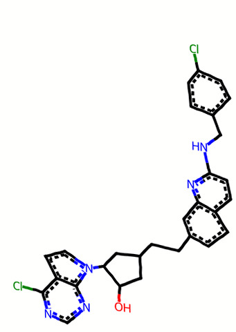 OC1CC(CCc2ccc3ccc(NCc4ccc(Cl)cc4)nc3c2)CC1n1ccc2c(Cl)ncnc21